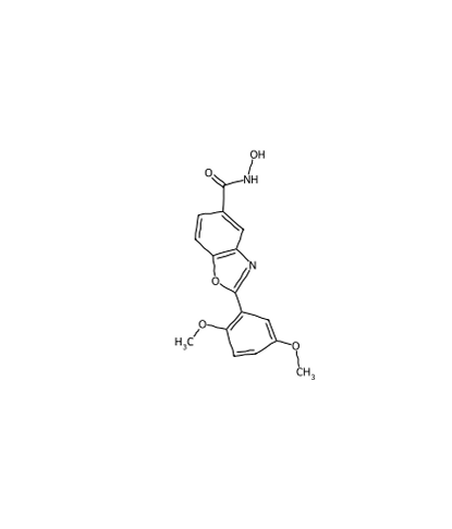 COc1ccc(OC)c(-c2nc3cc(C(=O)NO)ccc3o2)c1